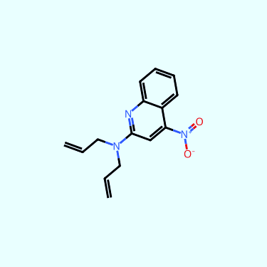 C=CCN(CC=C)c1cc([N+](=O)[O-])c2ccccc2n1